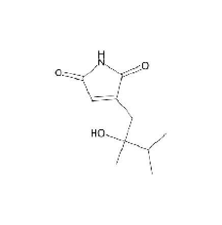 CC(C)C(C)(O)CC1=CC(=O)NC1=O